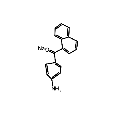 Nc1ccc(C(=O)c2cccc3ccccc23)cc1.[Na]